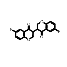 O=C1c2cc(F)ccc2OCC1C1COc2ccc(F)cc2C1=O